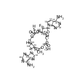 C=C1OP(=O)(S)OC[C@H]2O[C@@H](n3ccc4c(N)ncnc43)[C@@H](F)[C@@H]2OP(=O)(S)OC[C@H]2C[C@@H](n3cnc4c(N)ncnc43)[C@H]12